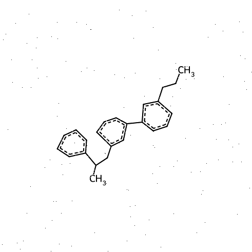 CCCc1cccc(-c2cccc(CC(C)c3ccccc3)c2)c1